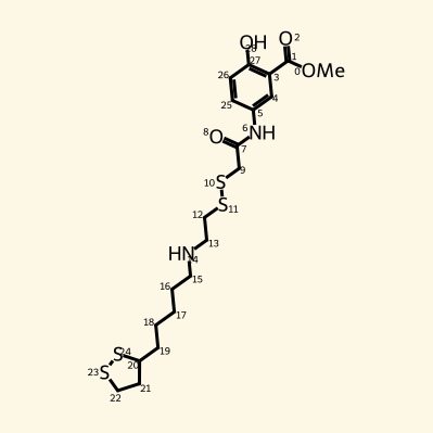 COC(=O)c1cc(NC(=O)CSSCCNCCCCCC2CCSS2)ccc1O